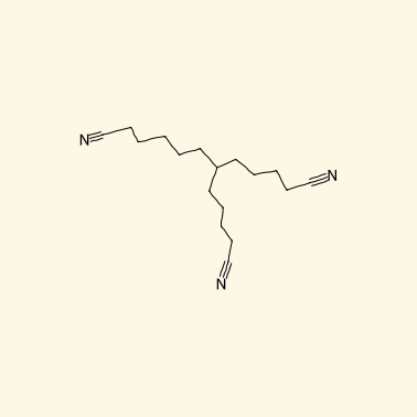 N#CCCCCCC(CCCCC#N)CCCCC#N